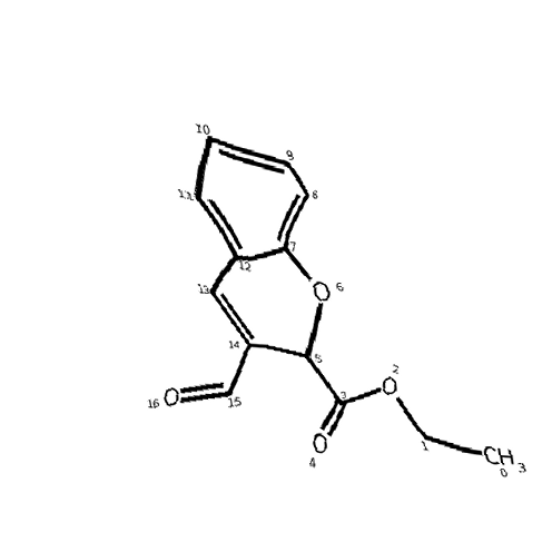 CCOC(=O)C1Oc2ccccc2C=C1C=O